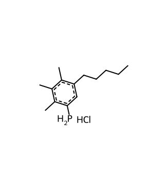 CCCCCc1cc(P)c(C)c(C)c1C.Cl